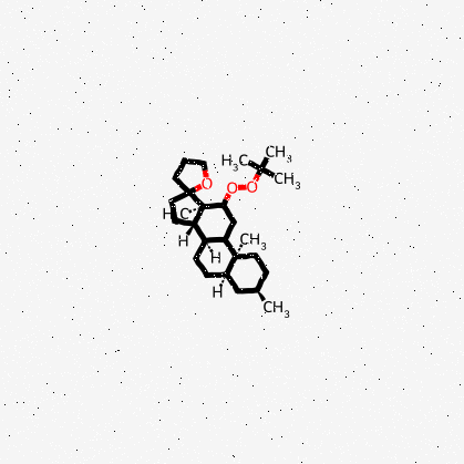 C[C@@H]1CC[C@]2(C)C3CC(OOC(C)(C)C)[C@@]4(C)[C@@H](CCC45CCCO5)[C@@H]3CC[C@@H]2C1